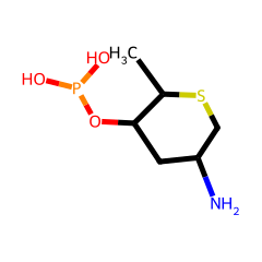 CC1SCC(N)CC1OP(O)O